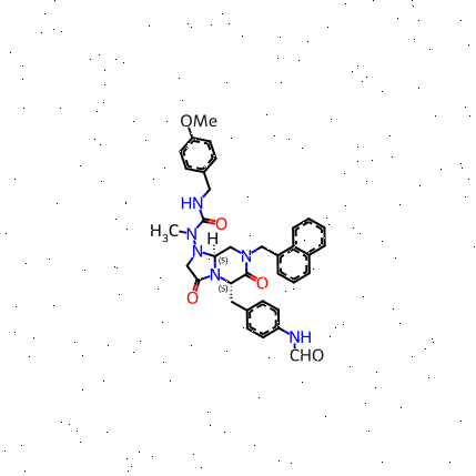 COc1ccc(CNC(=O)N(C)N2CC(=O)N3[C@@H](Cc4ccc(NC=O)cc4)C(=O)N(Cc4cccc5ccccc45)C[C@@H]32)cc1